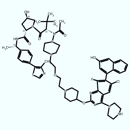 CC(=O)N([C@H](C(=O)N1C[C@H](O)C[C@H]1C(=O)N[C@@H](C)c1ccc(-c2scnc2C)cc1)C(C)(C)C)N1CCN(CCOCCN2CCC(Oc3nc(N4CCNCC4)c4cc(Cl)c(-c5cc(O)cc6ccccc56)c(F)c4n3)CC2)CC1